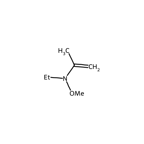 C=C(C)N(CC)OC